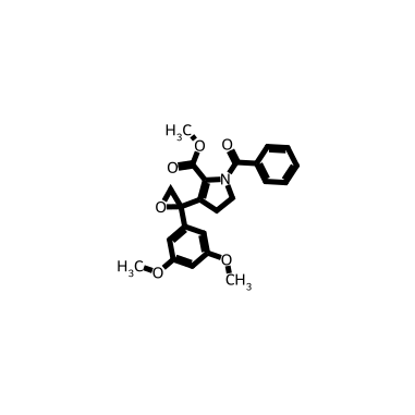 COC(=O)C1=C(C2(c3cc(OC)cc(OC)c3)CO2)CCN1C(=O)c1ccccc1